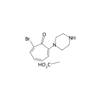 CC(=O)O.O=c1c(Br)ccccc1N1CCNCC1